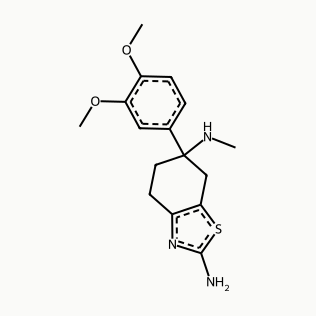 CNC1(c2ccc(OC)c(OC)c2)CCc2nc(N)sc2C1